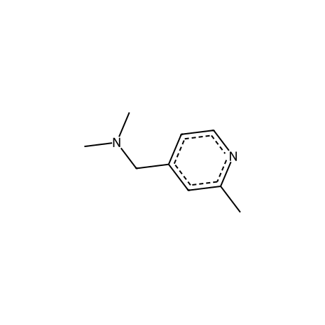 Cc1cc(CN(C)C)ccn1